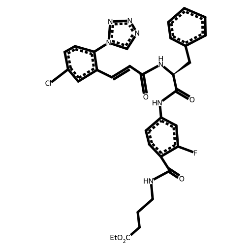 CCOC(=O)CCCNC(=O)c1ccc(NC(=O)[C@H](Cc2ccccc2)NC(=O)/C=C/c2cc(Cl)ccc2-n2cnnn2)cc1F